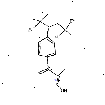 C=C(/C(C)=N/O)c1ccc(C(CC(C)(CC)CC)C(C)(C)CC)cc1